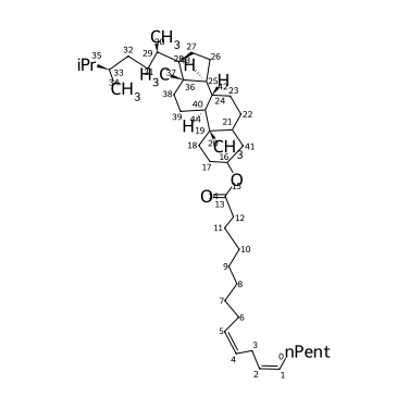 CCCCC/C=C\C/C=C\CCCCCCCC(=O)OC1CC[C@@]2(C)C(CC[C@H]3[C@@H]4CC[C@H]([C@H](C)CC[C@@H](C)C(C)C)[C@@]4(C)CC[C@@H]32)C1